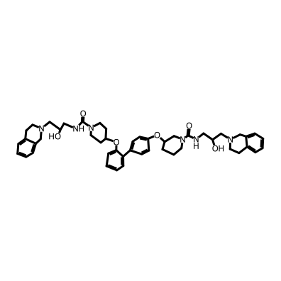 O=C(NCC(O)CN1CCc2ccccc2C1)N1CCC(Oc2ccccc2-c2ccc(OC3CCCN(C(=O)NCC(O)CN4CCc5ccccc5C4)C3)cc2)CC1